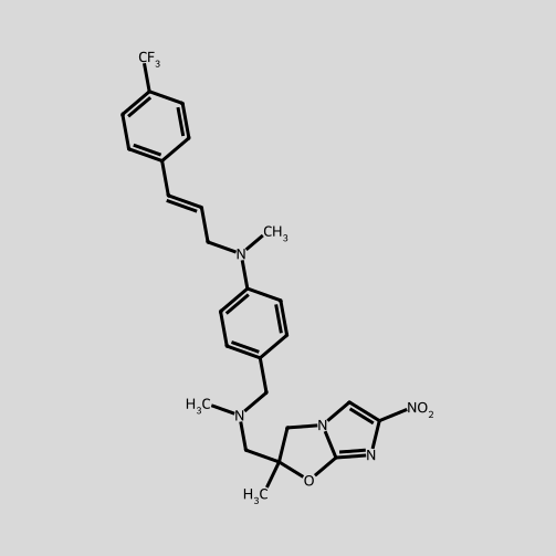 CN(Cc1ccc(N(C)CC=Cc2ccc(C(F)(F)F)cc2)cc1)CC1(C)Cn2cc([N+](=O)[O-])nc2O1